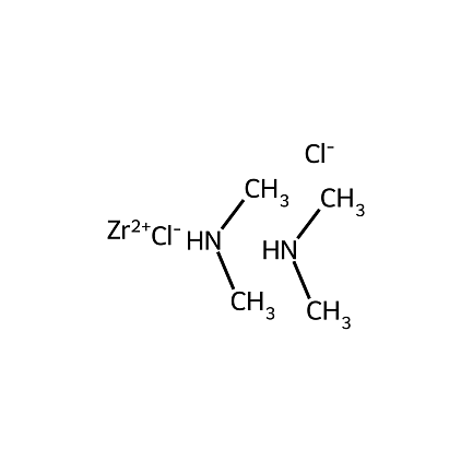 CNC.CNC.[Cl-].[Cl-].[Zr+2]